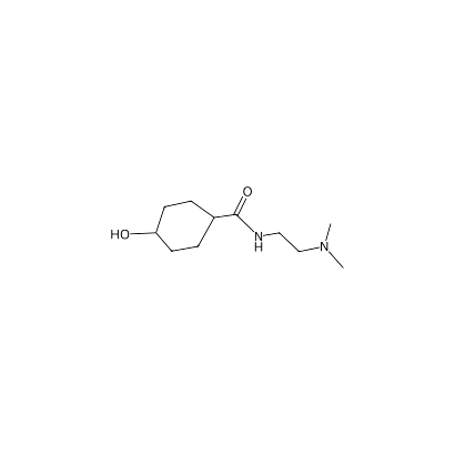 CN(C)CCNC(=O)C1CCC(O)CC1